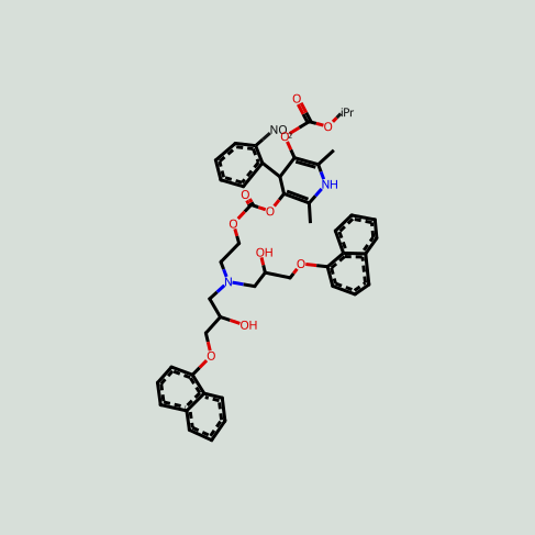 CC1=C(OC(=O)OCCN(CC(O)COc2cccc3ccccc23)CC(O)COc2cccc3ccccc23)C(c2ccccc2[N+](=O)[O-])C(OC(=O)OC(C)C)=C(C)N1